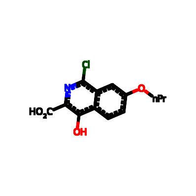 CCCOc1ccc2c(O)c(C(=O)O)nc(Cl)c2c1